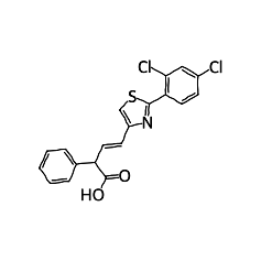 O=C(O)C(C=Cc1csc(-c2ccc(Cl)cc2Cl)n1)c1ccccc1